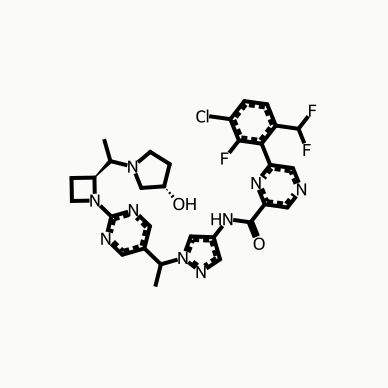 CC([C@@H]1CCN1c1ncc(C(C)n2cc(NC(=O)c3cncc(-c4c(C(F)F)ccc(Cl)c4F)n3)cn2)cn1)N1CC[C@H](O)C1